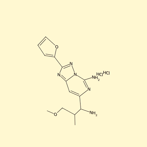 COCC(C)C(N)c1cc2nc(-c3ccco3)nn2c(N)n1.Cl.Cl